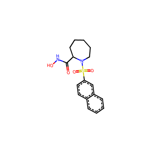 O=C(NO)C1CCCCCN1S(=O)(=O)c1ccc2ccccc2c1